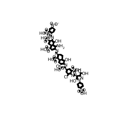 Nc1c(/N=N/c2ccc3c(O)c(/N=N/c4cc(Cl)c(/N=N/c5c(C(=O)O)nn(-c6ccc(S(=O)(=O)O)cc6)c5O)c(S(=O)(=O)O)c4)c(S(=O)(=O)O)cc3c2S(=O)(=O)O)cc(S(=O)(=O)O)c2cc(S(=O)(=O)O)c(/N=N/c3ccc([N+](=O)[O-])cc3S(=O)(=O)O)c(O)c12